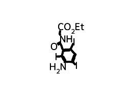 CCOC(=O)CNC(=O)c1c(I)cc(I)c(N)c1I